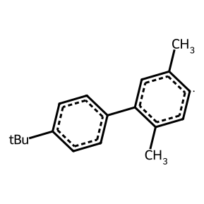 Cc1[c]cc(C)c(-c2ccc(C(C)(C)C)cc2)c1